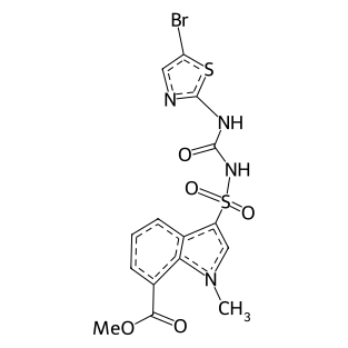 COC(=O)c1cccc2c(S(=O)(=O)NC(=O)Nc3ncc(Br)s3)cn(C)c12